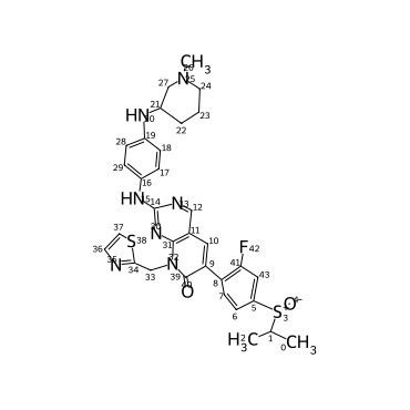 CC(C)[S+]([O-])c1ccc(-c2cc3cnc(Nc4ccc(NC5CCCN(C)C5)cc4)nc3n(Cc3nccs3)c2=O)c(F)c1